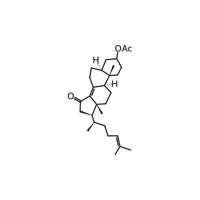 CC(=O)OC1CC[C@@]2(C)[C@@H](CCC3=C4C(=O)C[C@H]([C@H](C)CCC=C(C)C)[C@@]4(C)CC[C@@H]32)C1